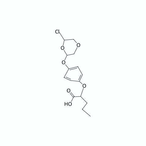 CCCC(Oc1ccc(OC2COCC(Cl)O2)cc1)C(=O)O